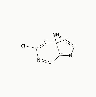 NC12N=CN=C1C=NC(Cl)=N2